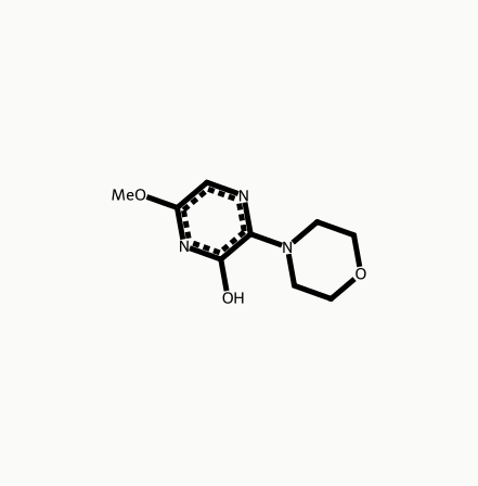 COc1cnc(N2CCOCC2)c(O)n1